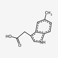 Cc1ccc2[nH]cc(CC(=O)O)c2c1